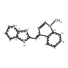 CN1C=C/C(=C\c2nc3ncccc3s2)c2ccccc21